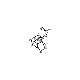 CC(=O)OC12CC3CC4C5CC(CC41)CC2C5C3